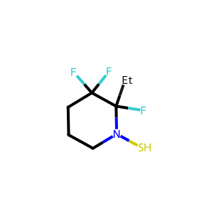 CCC1(F)N(S)CCCC1(F)F